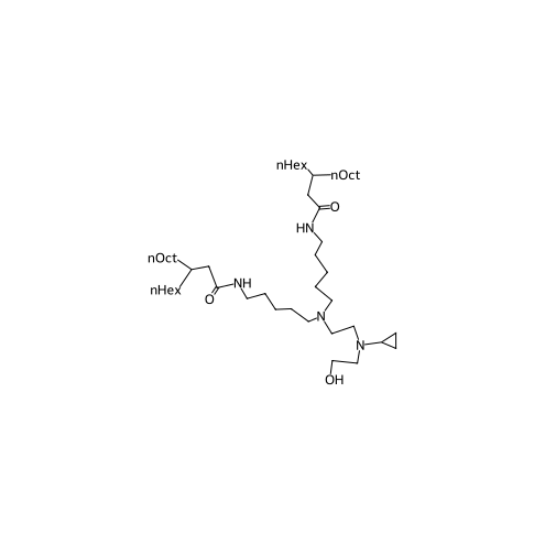 CCCCCCCCC(CCCCCC)CC(=O)NCCCCCN(CCCCCNC(=O)CC(CCCCCC)CCCCCCCC)CCN(CCO)C1CC1